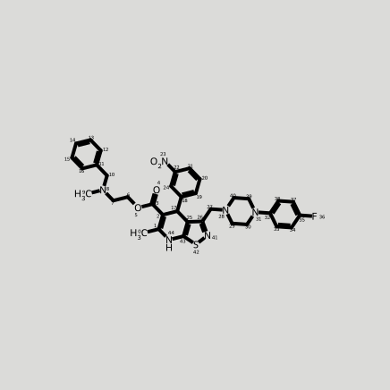 CC1=C(C(=O)OCCN(C)Cc2ccccc2)C(c2cccc([N+](=O)[O-])c2)c2c(CN3CCN(c4ccc(F)cc4)CC3)nsc2N1